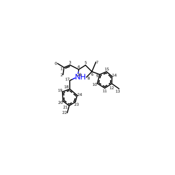 CC(C)=CC(CC(C)(C)c1ccc(C)cc1)NCc1ccc(C)cc1